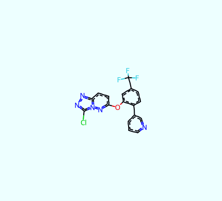 FC(F)(F)c1ccc(-c2cccnc2)c(Oc2ccc3nnc(Cl)n3n2)c1